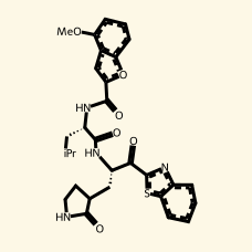 COc1cccc2oc(C(=O)N[C@@H](CC(C)C)C(=O)N[C@@H](CC3CCNC3=O)C(=O)c3nc4ccccc4s3)cc12